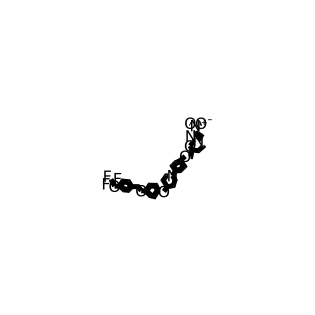 O=[N+]([O-])c1cn2c(n1)OC(COc1ccc(N3CCC(Oc4ccc(OCc5ccc(OC(F)(F)F)cc5)cc4)CC3)cc1)CC2